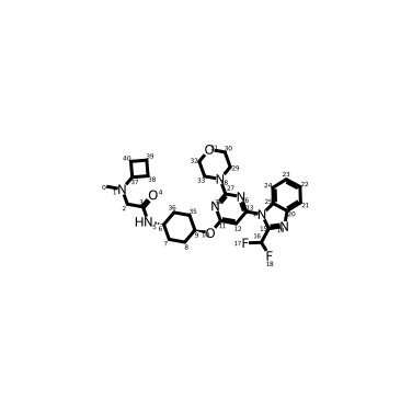 CN(CC(=O)N[C@H]1CC[C@H](Oc2cc(-n3c(C(F)F)nc4ccccc43)nc(N3CCOCC3)n2)CC1)C1CCC1